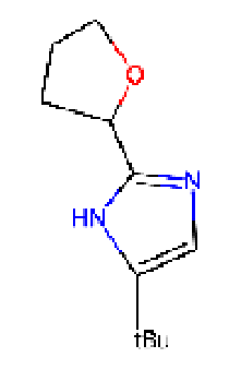 CC(C)(C)c1cnc(C2CCCO2)[nH]1